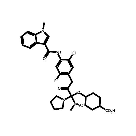 CC(=O)N(C)C(OC1CCC(C(=O)O)CC1)(C(=O)Cc1cc(Cl)c(NC(=O)c2cn(C)c3ccccc23)cc1F)N1CCCC1